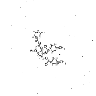 CC(=O)OC1S[C@@H](COC(=O)c2ccc(C)cc2)[C@H](OC(=O)c2ccc(C)cc2)[C@H]1OC(=O)OCc1ccccc1